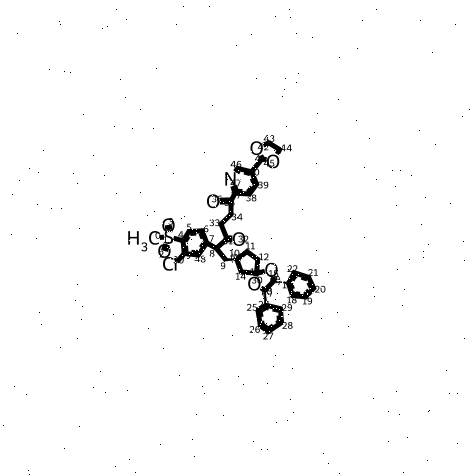 CS(=O)(=O)c1ccc(C(C[C@H]2CCC3(C2)O[C@H](c2ccccc2)[C@@H](c2ccccc2)O3)C(=O)CCC(=O)c2ccc(C3OCCO3)cn2)cc1Cl